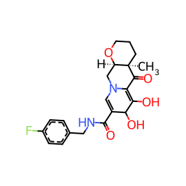 C[C@@]12CCCO[C@@H]1CN1C=C(C(=O)NCc3ccc(F)cc3)C(O)C(O)=C1C2=O